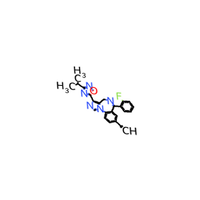 C#Cc1ccc2c(c1)C(c1ccccc1F)=NCc1c(-c3nc(C(C)C)no3)ncn1-2